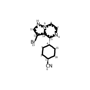 N#C[C@H]1CC[C@H](c2nccn3ncc(Br)c23)CC1